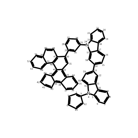 c1ccc(-n2c3ccccc3c3cc(-c4ccc5c6ccccc6n(-c6cccc(-c7cc8c9ccccc9c9ccccc9c8c8c7ccc7ccccc78)c6)c5c4)ccc32)cc1